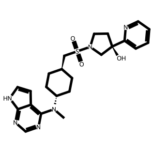 CN(c1ncnc2[nH]ccc12)[C@H]1CC[C@H](CS(=O)(=O)N2CC[C@](O)(c3ccccn3)C2)CC1